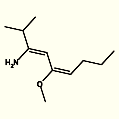 CCC/C=C(\C=C(/N)C(C)C)OC